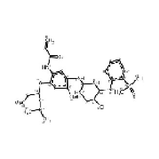 C=CC(=O)Nc1cc(NC2NCC(Cl)C(Nc3ccccc3P(C)(C)=O)N2)c(OC)cc1OC(COC)CN(C)C